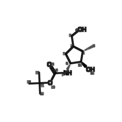 C[C@H]1C(CO)C[C@@H](NC(=O)OC(C)(C)C)[C@@H]1O